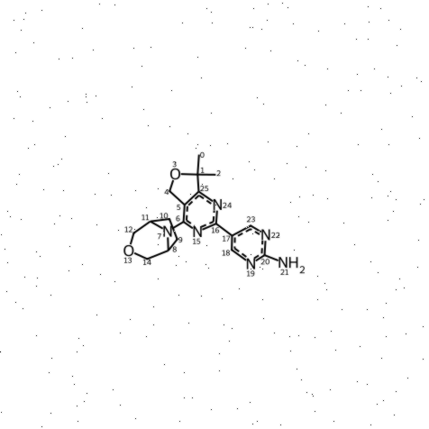 CC1(C)OCc2c(N3C4CCC3COC4)nc(-c3cnc(N)nc3)nc21